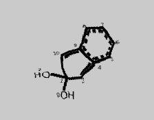 OC1(O)C=c2ccccc2=C1